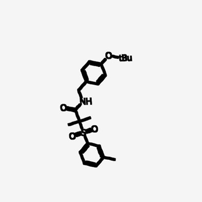 Cc1cccc(S(=O)(=O)C(C)(C)C(=O)NCc2ccc(OC(C)(C)C)cc2)c1